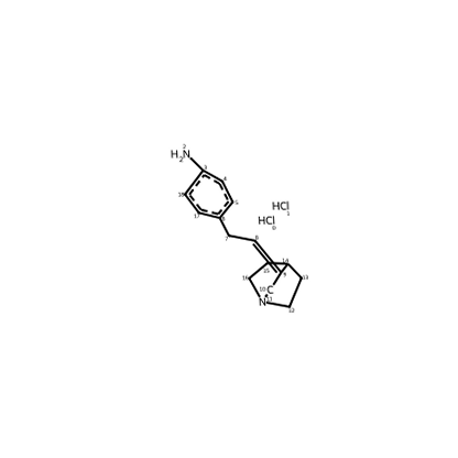 Cl.Cl.Nc1ccc(C/C=C2\CN3CCC2CC3)cc1